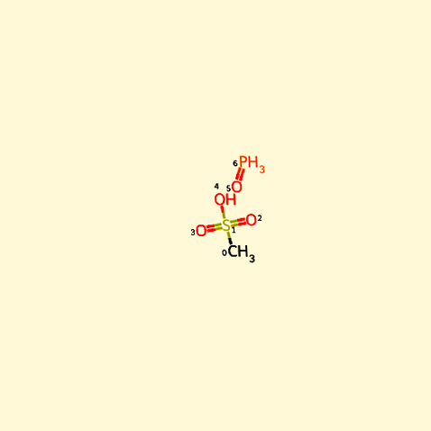 CS(=O)(=O)O.O=[PH3]